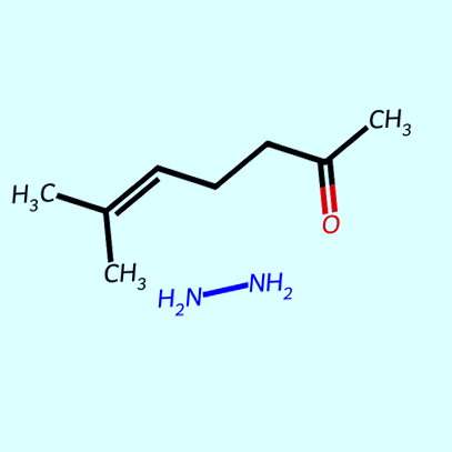 CC(=O)CCC=C(C)C.NN